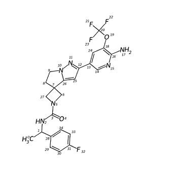 CC(NC(=O)N1CC2(CCn3nc(-c4cnc(N)c(OC(F)(F)F)c4)cc32)C1)c1ccc(F)cc1